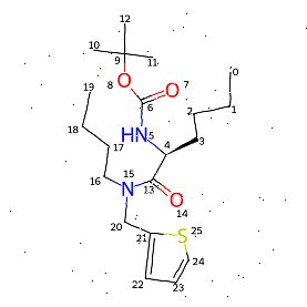 [CH2]CCC[C@H](NC(=O)OC(C)(C)C)C(=O)N(CCCC)Cc1cccs1